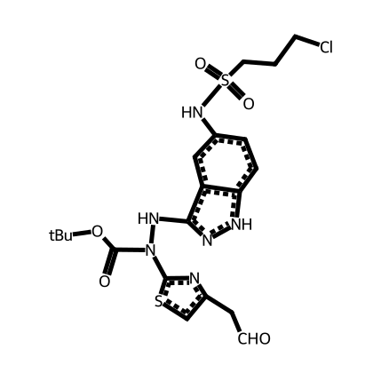 CC(C)(C)OC(=O)N(Nc1n[nH]c2ccc(NS(=O)(=O)CCCCl)cc12)c1nc(CC=O)cs1